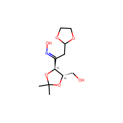 CC1(C)O[C@@H](CO)[C@H](C(CC2OCCO2)=NO)O1